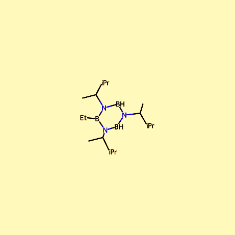 CCB1N(C(C)C(C)C)BN(C(C)C(C)C)BN1C(C)C(C)C